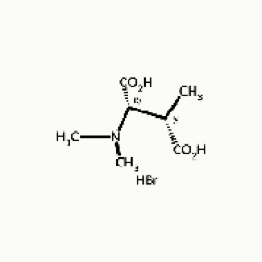 Br.C[C@H](C(=O)O)[C@@H](C(=O)O)N(C)C